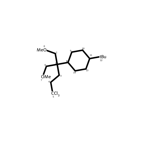 COCC(CCC(Cl)(Cl)Cl)(COC)C1CCC(C(C)(C)C)CC1